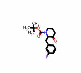 CC(C)(C)OC(=O)N1CCCC(=O)C1Cc1cccc(I)c1